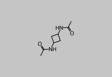 CC(=O)NC1CC(NC(C)=O)C1